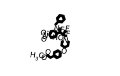 COC(=O)Cc1ccc(OC2CCN(CC(O)(c3cn(Cc4ccccc4)c4cc([N+](=O)[O-])ccc34)C(F)(F)F)CC2)cc1